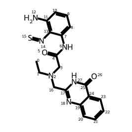 CCN(CC(=O)Nc1cccc(N)c1N=S)Cc1nc2ccccc2c(=O)[nH]1